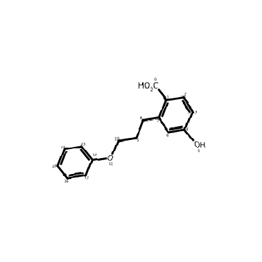 O=C(O)c1ccc(O)cc1CCCOc1ccccc1